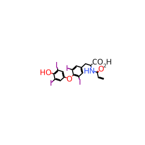 C=CC(=O)N[C@@H](Cc1cc(I)c(Oc2cc(I)c(O)c(I)c2)c(I)c1)C(=O)O